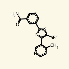 Cc1ccncc1-c1nc(-c2cccc(C(N)=O)c2)sc1C(C)C